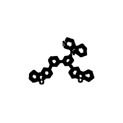 c1cc(-c2cc(-c3ccc4oc5ccccc5c4c3)cc(-n3c4ccccc4c4ccncc43)c2)cc(-c2ccc3oc4ccccc4c3c2)c1